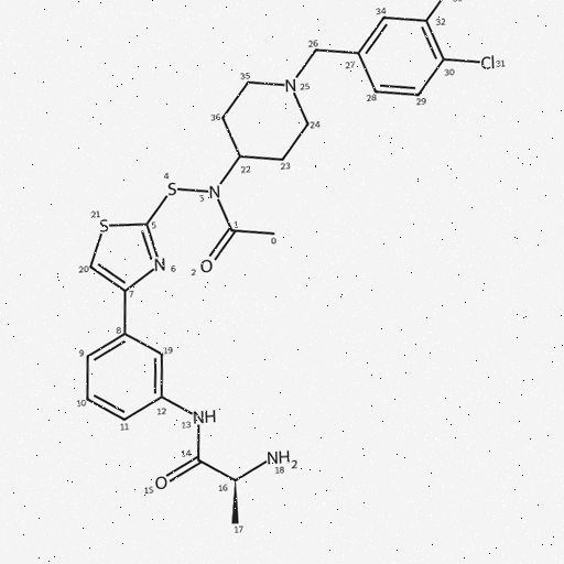 CC(=O)N(Sc1nc(-c2cccc(NC(=O)[C@H](C)N)c2)cs1)C1CCN(Cc2ccc(Cl)c(Cl)c2)CC1